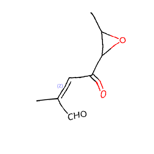 C/C(C=O)=C/C(=O)C1OC1C